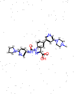 CN1CCN(c2cncc(-c3ccc4c(c3)c(C(=O)O)nn4C(=O)Nc3ccc(N4CCCC4)nc3)c2)CC1